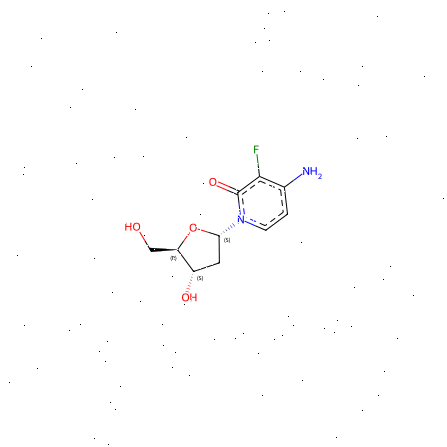 Nc1ccn([C@@H]2C[C@H](O)[C@@H](CO)O2)c(=O)c1F